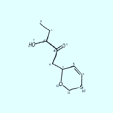 CCC(O)C(=O)CC1C=CSCO1